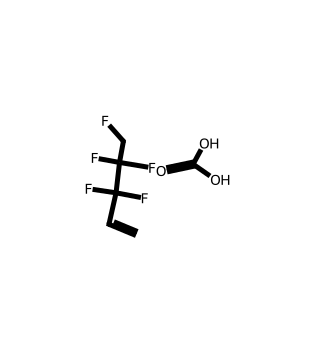 C=CC(F)(F)C(F)(F)CF.O=C(O)O